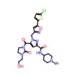 CC(C)N1CCC(NC(=O)c2cc(C(=O)N3CCN(CCO)C3=O)n(Cc3cc(-c4ccc(Cl)s4)on3)n2)CC1